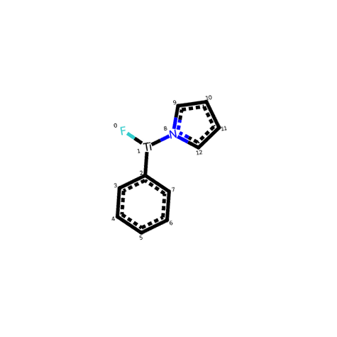 [F][Ti]([c]1ccccc1)[n]1cccc1